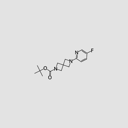 CC(C)(C)OC(=O)N1CC2(C1)CN(c1ccc(F)cn1)C2